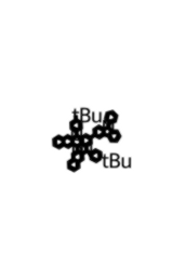 CC(C)(C)c1ccc(N2c3cc4ccccc4cc3B3c4cc5ccccc5cc4N(c4ccc(C(C)(C)C)cc4)c4cc(-c5ccc6c(c5)c5ccccc5n6-c5ccccc5)cc2c43)cc1